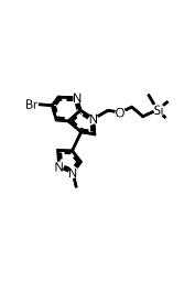 Cn1cc(-c2cn(COCC[Si](C)(C)C)c3ncc(Br)cc23)cn1